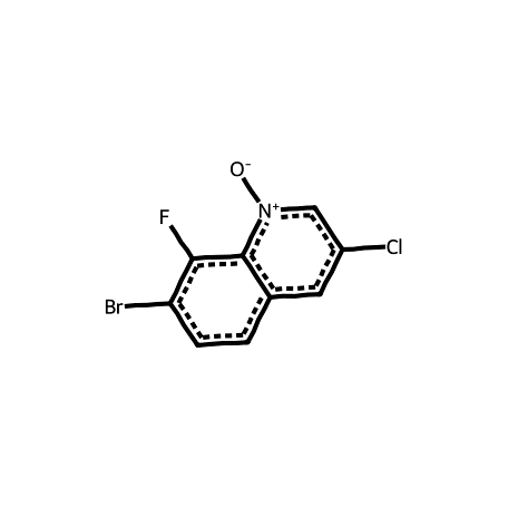 [O-][n+]1cc(Cl)cc2ccc(Br)c(F)c21